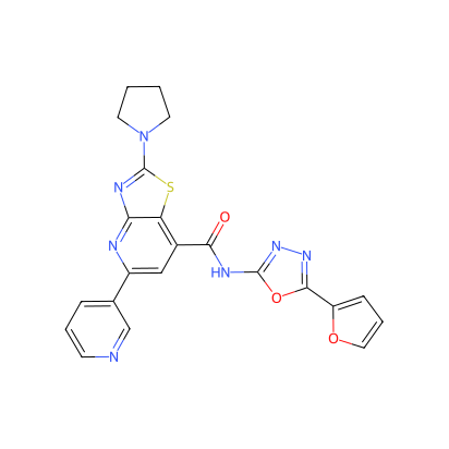 O=C(Nc1nnc(-c2ccco2)o1)c1cc(-c2cccnc2)nc2nc(N3CCCC3)sc12